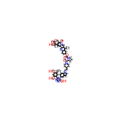 CCc1c2c(nc3ccc(OC(=O)N4CCC[C@H]4C(=O)N4CCC(CCn5ccc6cc(-n7c(O)nnc7-c7cc(C(C)C)c(O)cc7O)ccc65)CC4)cc13)-c1cc3c(c(=O)n1C2)COC(=O)[C@]3(O)CC